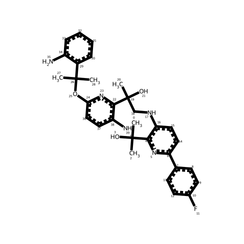 CC(C)(O)c1nc(-c2ccc(F)cc2)ccc1NCC(C)(O)c1nc(OC(C)(C)c2ccccc2N)ccc1N